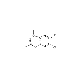 COc1cc(F)c(Cl)cc1CC(=O)O